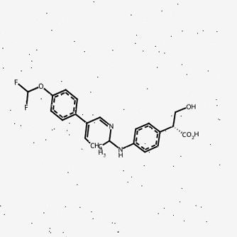 C/C=C(\C=N/C(C)Nc1ccc([C@H](CO)C(=O)O)cc1)c1ccc(OC(F)F)cc1